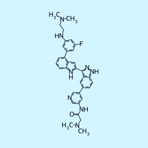 CN(C)CCNc1cc(F)cc(-c2cccc3[nH]c(-c4n[nH]c5ccc(-c6cncc(NC(=O)CN(C)C)c6)cc45)cc23)c1